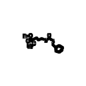 CCO[Si](CCCSC(=O)SCc1ccccc1)(OCC)OCC